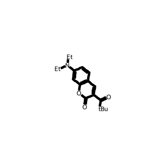 CCN(CC)c1ccc2cc(C(=O)C(C)(C)C)c(=O)oc2c1